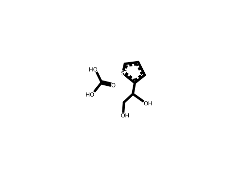 O=C(O)O.OCC(O)c1cccs1